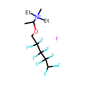 CC[N+](C)(CC)C(C)OCC(F)(F)C(F)(F)C(F)(F)C(F)F.[I-]